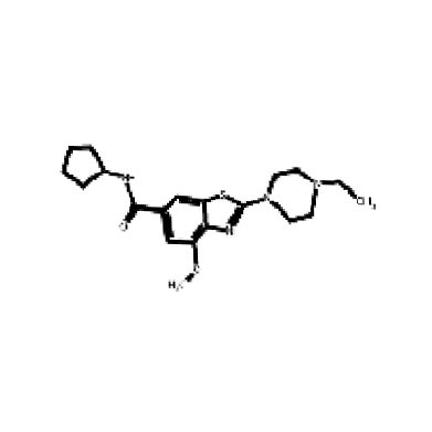 CCN1CCN(c2nc3c(OC)cc(C(=O)NC4CCCC4)cc3s2)CC1